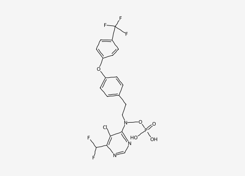 O=P(O)(O)ON(CCc1ccc(Oc2ccc(C(F)(F)F)cc2)cc1)c1ncnc(C(F)F)c1Cl